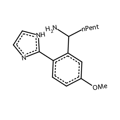 CCCCCC(N)c1cc(OC)ccc1-c1ncc[nH]1